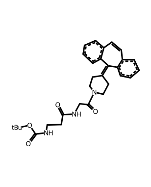 CC(C)(C)OC(=O)NCCC(=O)NCC(=O)N1CCC(=C2c3ccccc3C=Cc3ccccc32)CC1